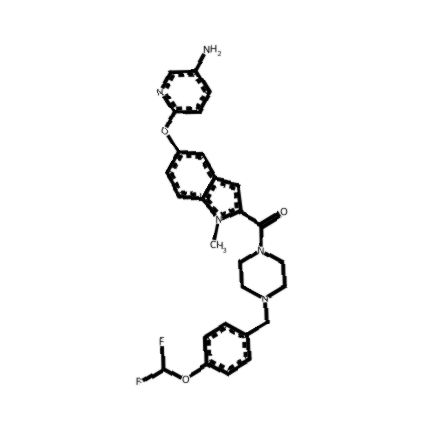 Cn1c(C(=O)N2CCN(Cc3ccc(OC(F)F)cc3)CC2)cc2cc(Oc3ccc(N)cn3)ccc21